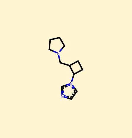 [c]1cn(C2CCC2CN2CCCC2)cn1